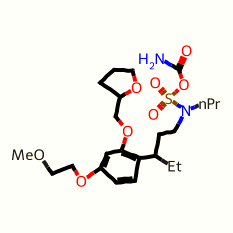 CCCN(CCC(CC)c1ccc(OCCOC)cc1OCC1CCCO1)S(=O)(=O)OC(N)=O